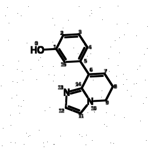 Oc1cccc(C2=CCCn3ccnc32)c1